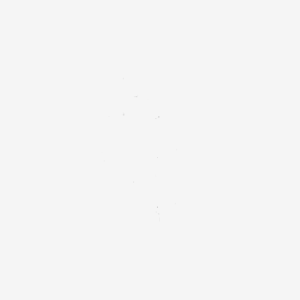 COc1cc(C2CCNCC2)cc2c(C)c(C)oc12.Cl